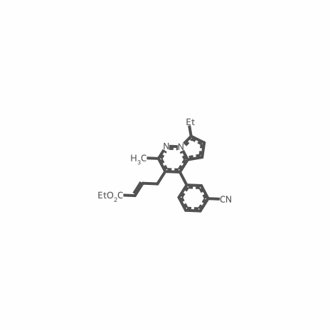 CCOC(=O)/C=C/Cc1c(C)nn2c(CC)ccc2c1-c1cccc(C#N)c1